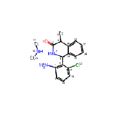 CCC1C(=O)NC(c2c(N)cccc2Cl)c2ccccc21.CCNCC